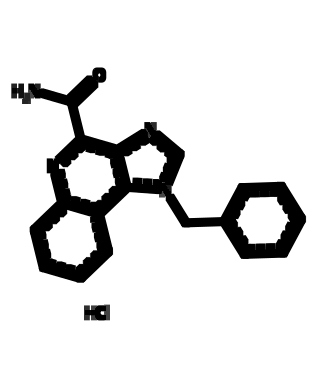 Cl.NC(=O)c1nc2ccccc2c2c1ncn2Cc1ccccc1